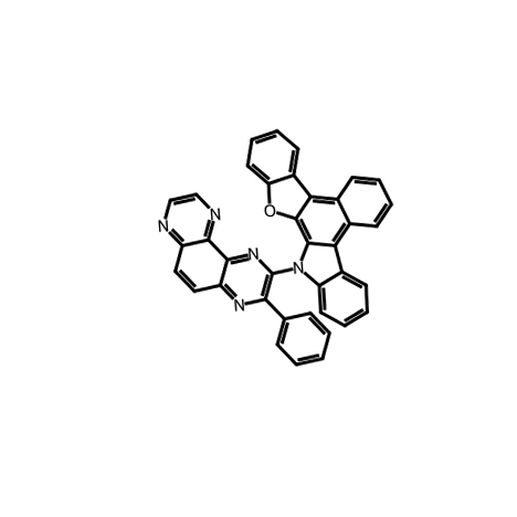 c1ccc(-c2nc3ccc4nccnc4c3nc2-n2c3ccccc3c3c4ccccc4c4c5ccccc5oc4c32)cc1